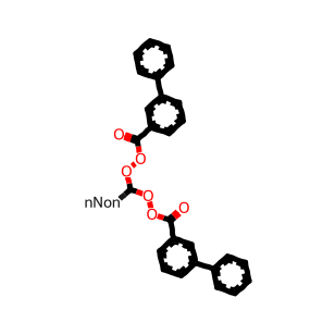 [CH2]CCCCCCCC[C](OOC(=O)c1cccc(-c2ccccc2)c1)OOC(=O)c1cccc(-c2ccccc2)c1